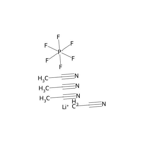 CC#N.CC#N.CC#N.CC#N.F[P-](F)(F)(F)(F)F.[Li+]